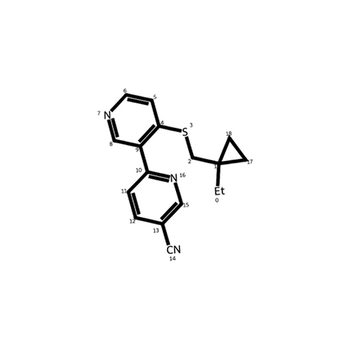 CCC1(CSc2ccncc2-c2ccc(C#N)cn2)CC1